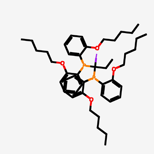 CCCCCOc1ccccc1P(c1ccccc1OCCCCC)C(I)(CC)P(c1ccccc1OCCCCC)c1ccccc1OCCCCC